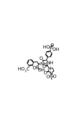 CS(=O)(=O)N1CCN(C(=O)NC(C(=O)N[C@H]2Cc3cccc(C(=O)O)c3OB2O)c2ccc(P(=O)(O)O)cc2)C1=O